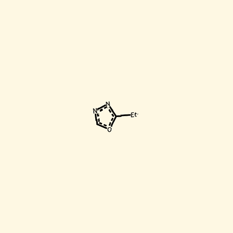 C[CH]c1nnco1